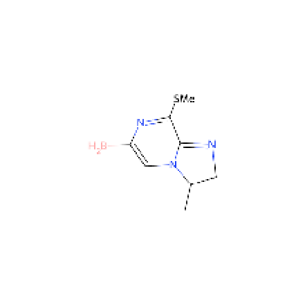 BC1=CN2C(=NCC2C)C(SC)=N1